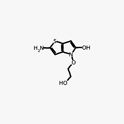 Nc1cc2c(cc(O)n2OCCO)s1